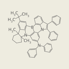 CC(C)(C)c1cc2c3c(c1)C1(C)CCCCC1(C)N3c1cc(N(c3ccccc3)c3ccccc3)cc3c1B2c1cccc2c(-c4ccccc4)c(-c4ccccc4)n-3c12